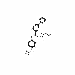 O=S(=O)(O)Nc1ccc(C[C@H](NS(=O)(=O)CCF)c2csc(-c3cccs3)n2)cc1